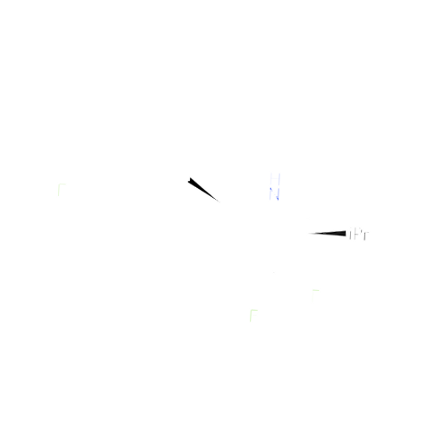 CC(C)[C@@H]1N[C@H](c2cccc(F)c2)CC1(F)F